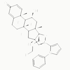 C[C@]12C=CC(=O)C=C1[C@@H](F)C[C@H]1[C@@H]3C[C@H]4CN(c5cccn5-c5ccccc5)O[C@@]4(C(=O)SCF)[C@@]3(C)C[C@H](O)[C@@]12F